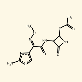 CON=C(C(=O)NC1C(=O)NC1OC(C)=O)c1csc(N)n1